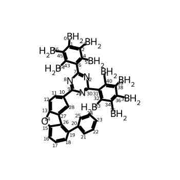 Bc1c(B)c(B)c(-c2nc(-c3ccc4oc5cccc(-c6ccccc6)c5c4c3)nc(-c3c(B)c(B)c(B)c(B)c3B)n2)c(B)c1B